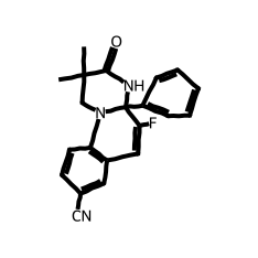 CC1(C)CN2c3ccc(C#N)cc3C=C(F)C2(c2ccccc2)NC1=O